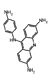 Nc1ccc(Nc2c3ccc(N)cc3nc3cc(N)ccc23)cc1